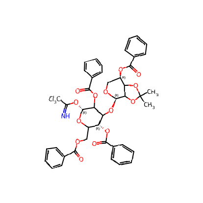 CC1(C)OC2C(O1)[C@H](OC(=O)c1ccccc1)CO[C@@H]2OC1C(OC(=O)c2ccccc2)[C@@H](OC(=N)C(Cl)(Cl)Cl)OC(COC(=O)c2ccccc2)[C@H]1OC(=O)c1ccccc1